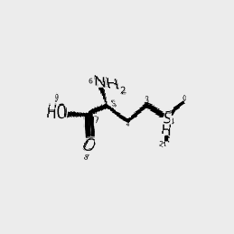 C[SH](F)CC[C@H](N)C(=O)O